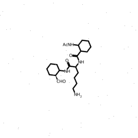 CC(=O)NC1CCCCC1C(=O)NC(CCCCN)C(=O)NC1CCCC[C@@H]1C=O